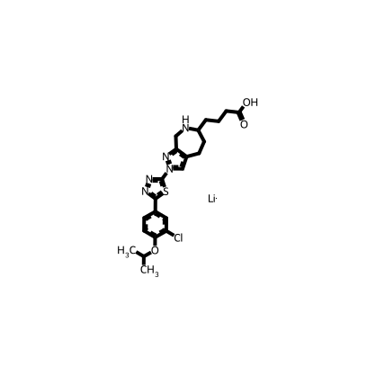 CC(C)Oc1ccc(-c2nnc(-n3cc4c(n3)CNC(CCCC(=O)O)CC4)s2)cc1Cl.[Li]